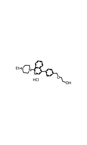 CCN1CCN(c2ncc(-c3ccc(COCCO)cc3)c3ccccc23)CC1.Cl